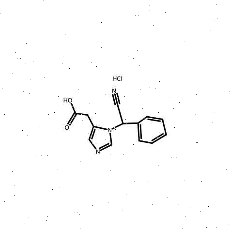 Cl.N#CC(c1ccccc1)n1cncc1CC(=O)O